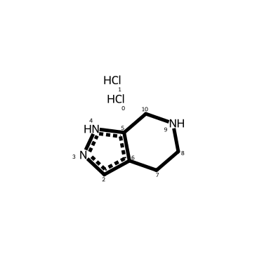 Cl.Cl.c1n[nH]c2c1CCNC2